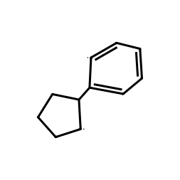 [c]1ccccc1C1[CH]CCC1